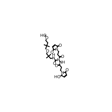 CC(C)(CCOO)COCC(C)(C)CNC(=O)N(NC(=O)CCN1C(=O)C=CC1O)C(=O)CCN1C(=O)C=CC1=O